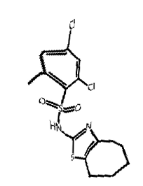 Cc1cc(Cl)cc(Cl)c1S(=O)(=O)Nc1nc2c(s1)CCCC2